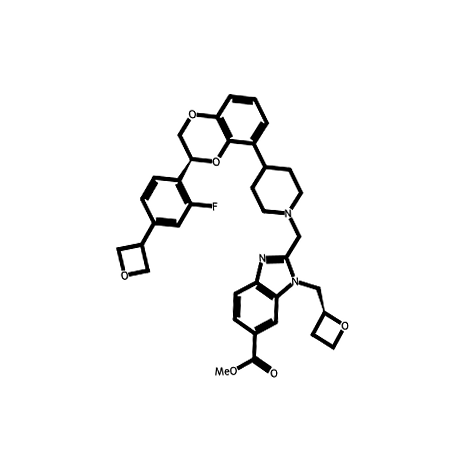 COC(=O)c1ccc2nc(CN3CCC(c4cccc5c4O[C@@H](c4ccc(C6COC6)cc4F)CO5)CC3)n(C[C@@H]3CCO3)c2c1